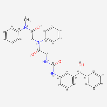 CN(C(=O)CN(C(=O)CNC(=O)Nc1cccc(C(O)c2ccccc2)c1)c1ccccc1)c1ccccc1